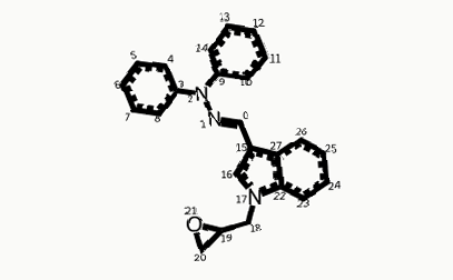 C(=NN(c1ccccc1)c1ccccc1)c1cn(CC2CO2)c2ccccc12